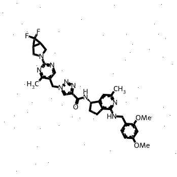 COc1ccc(CNc2nc(C)cc3c2CC[C@H]3NC(=O)c2cn(Cc3cnc(N4CC5C(C4)C5(F)F)nc3C)nn2)c(OC)c1